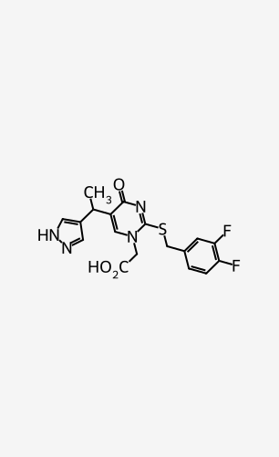 CC(c1cn[nH]c1)c1cn(CC(=O)O)c(SCc2ccc(F)c(F)c2)nc1=O